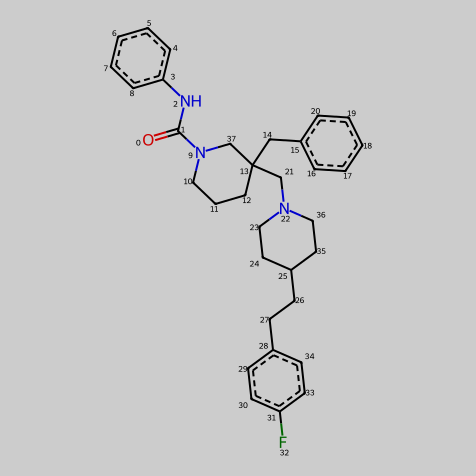 O=C(Nc1ccccc1)N1CCCC(Cc2ccccc2)(CN2CCC(CCc3ccc(F)cc3)CC2)C1